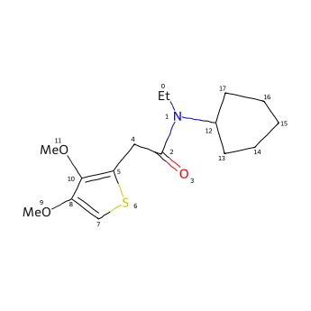 CCN(C(=O)Cc1scc(OC)c1OC)C1CCCCC1